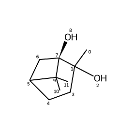 CC1(O)CCC2C[C@@]1(O)C2(C)C